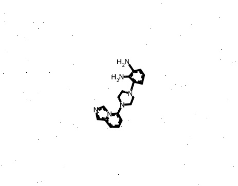 Nc1cccc(N2CCN(c3cccc4cncn34)CC2)c1N